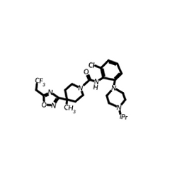 CC(C)N1CCN(c2cccc(Cl)c2NC(=O)N2CCC(C)(c3noc(CC(F)(F)F)n3)CC2)CC1